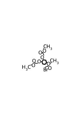 CCOC(=O)CBr.CCOC(=O)COc1ccccc1OCC(=O)OCC